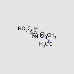 C/C(Cl)=C\C=C(/C)c1ccc(-c2nnc(SCC(=O)O)[nH]2)o1